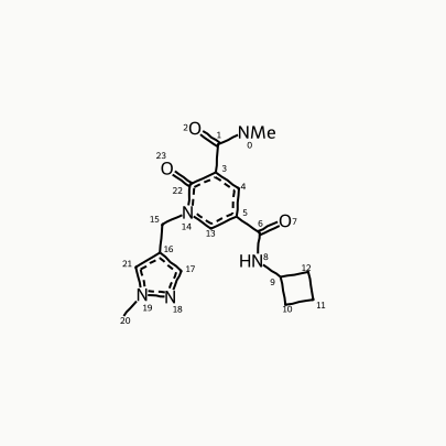 CNC(=O)c1cc(C(=O)NC2CCC2)cn(Cc2cnn(C)c2)c1=O